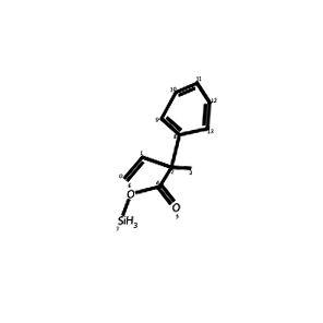 C=CC(C)(C(=O)O[SiH3])c1ccccc1